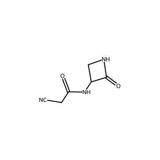 N#CCC(=O)NC1CNC1=O